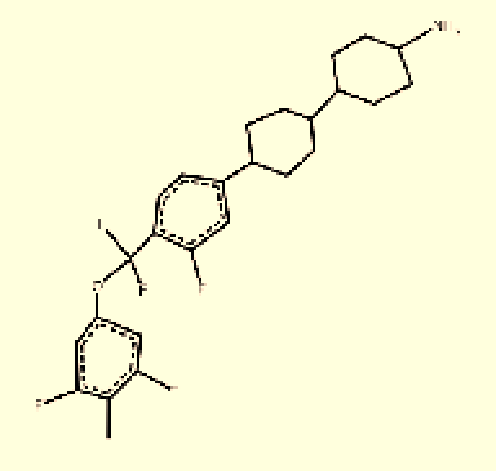 NC1CCC(C2CCC(c3ccc(C(F)(F)Oc4cc(F)c(F)c(F)c4)c(F)c3)CC2)CC1